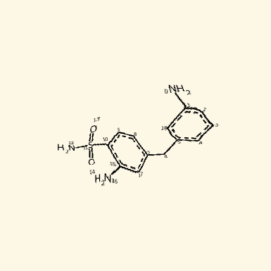 Nc1cccc(Cc2ccc(S(N)(=O)=O)c(N)c2)c1